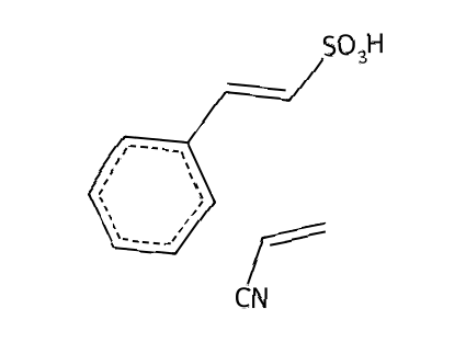 C=CC#N.O=S(=O)(O)C=Cc1ccccc1